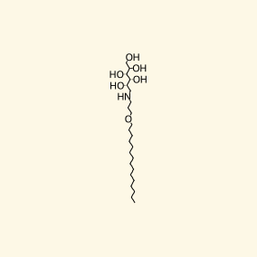 CCCCCCCCCCCCCCCOCCCNC[C@H](O)[C@@H](O)[C@H](O)[C@H](O)CO